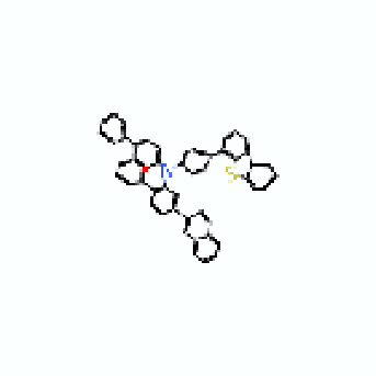 c1ccc(-c2ccc(N(c3ccc(-c4cccc5c4sc4ccccc45)cc3)c3cc(-c4ccc5ccccc5c4)ccc3-c3ccccc3)cc2)cc1